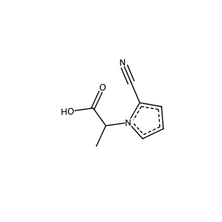 CC(C(=O)O)n1cccc1C#N